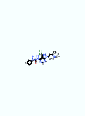 CC(C)N(C(C)C)C(C)CCn1ncc2c(NC(=O)NC3CCCC3)ncnc21.Cl